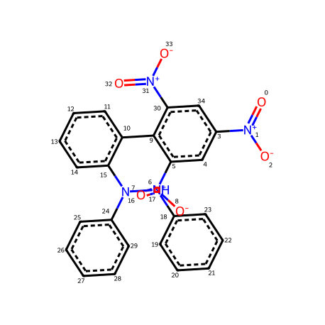 O=[N+]([O-])c1cc([N+](=O)[O-])c(-c2ccccc2N(Nc2ccccc2)c2ccccc2)c([N+](=O)[O-])c1